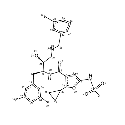 CS(=O)(=O)Nc1nc(C(=O)N[C@@H](Cc2cc(F)cc(F)c2)[C@@H](O)CNCc2cccc(I)c2)c(C2CC2)o1